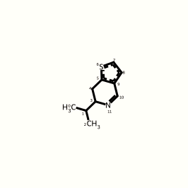 CC(C)C1Cc2sccc2C=N1